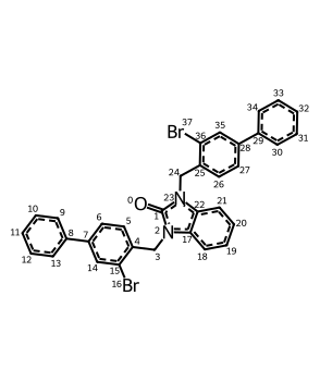 O=c1n(Cc2ccc(-c3ccccc3)cc2Br)c2ccccc2n1Cc1ccc(-c2ccccc2)cc1Br